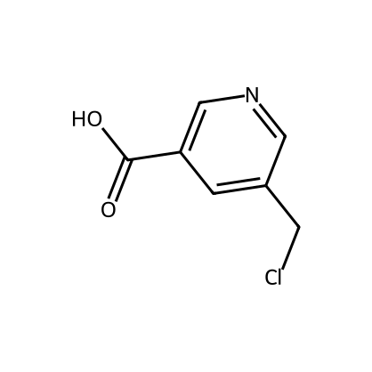 O=C(O)c1cncc(CCl)c1